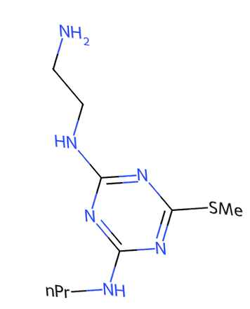 CCCNc1nc(NCCN)nc(SC)n1